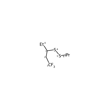 CCC(CC(F)(F)F)SSC(C)C